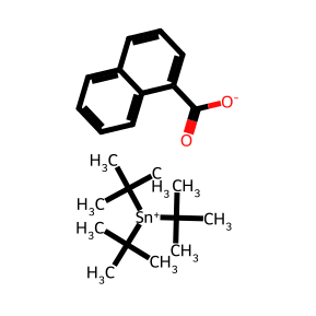 C[C](C)(C)[Sn+]([C](C)(C)C)[C](C)(C)C.O=C([O-])c1cccc2ccccc12